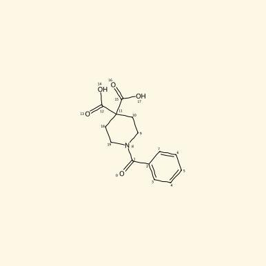 O=C(c1ccccc1)N1CCC(C(=O)O)(C(=O)O)CC1